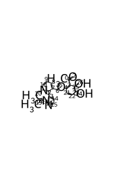 CC(=O)c1c(OCc2cccnc2-c2ccnn2C(C)C)ccc(O)c1O